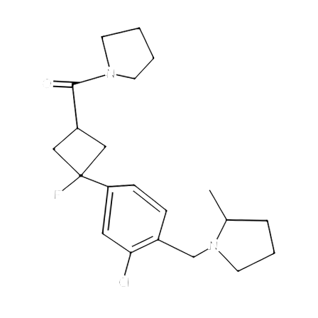 CC1CCCN1Cc1ccc(C2(F)CC(C(=O)N3CCCC3)C2)cc1Cl